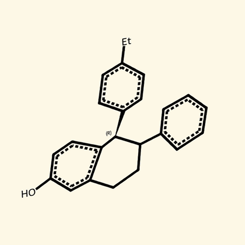 CCc1ccc([C@@H]2c3ccc(O)cc3CCC2c2ccccc2)cc1